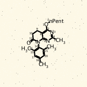 CCCCCOc1nc(C)nc2c1CCC(=O)N2c1c(C)cc(C)cc1C